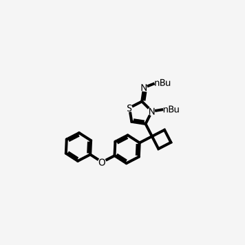 CCCCN=c1scc(C2(c3ccc(Oc4ccccc4)cc3)CCC2)n1CCCC